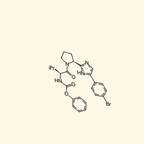 CC(C)[C@H](NC(=O)Oc1ccccc1)C(=O)N1CCC[C@H]1c1ncc(-c2ccc(Br)cc2)[nH]1